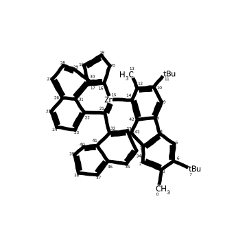 Cc1cc2c(cc1C(C)(C)C)-c1cc(C(C)(C)C)c(C)[c]([Zr]([C]3=CC=CC3)=[C](c3cccc4ccccc34)c3cccc4ccccc34)c1C2